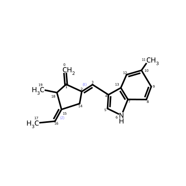 C=C1/C(=C/c2c[nH]c3ccc(C)cc23)C/C(=C/C)C1C